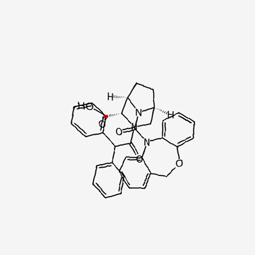 O=C(O)[C@@H]1[C@H]2CC[C@@H](CN1C(=O)C(c1ccccc1)c1ccccc1)N2C(=O)N1c2ccccc2COc2ccccc21